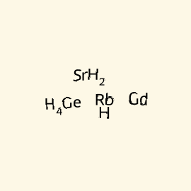 [Gd].[GeH4].[RbH].[SrH2]